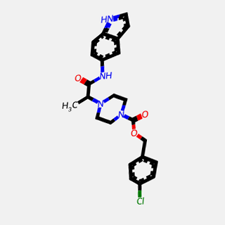 CC(C(=O)Nc1ccc2[nH]ccc2c1)N1CCN(C(=O)OCc2ccc(Cl)cc2)CC1